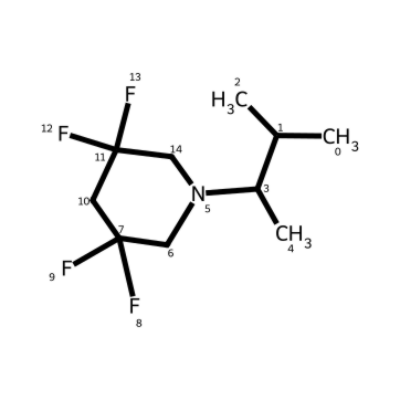 CC(C)C(C)N1CC(F)(F)CC(F)(F)C1